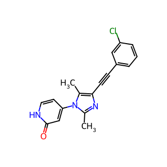 Cc1nc(C#Cc2cccc(Cl)c2)c(C)n1-c1cc[nH]c(=O)c1